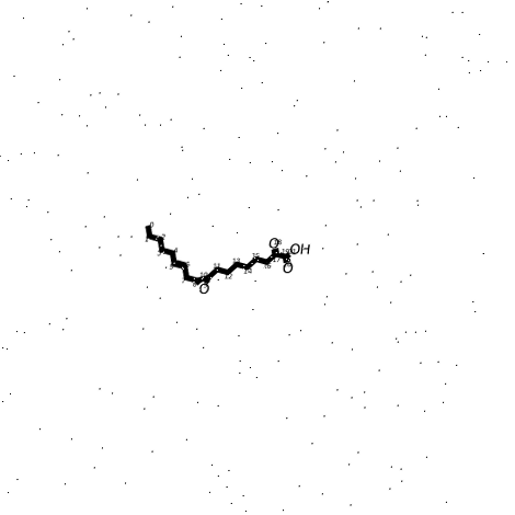 CCCCCC=CCC1OC1CCCCCCC(=O)C(=O)O